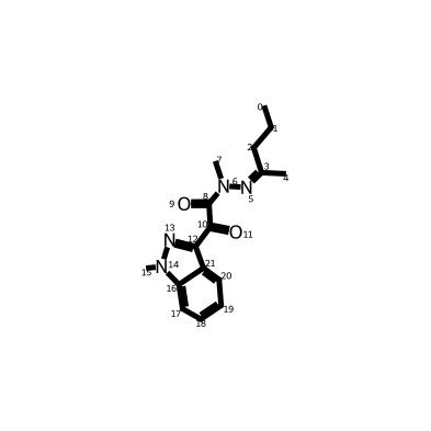 CCCC(C)=NN(C)C(=O)C(=O)c1nn(C)c2ccccc12